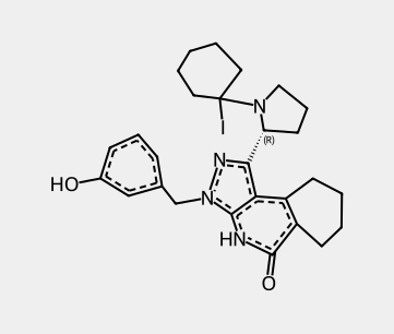 O=c1[nH]c2c(c([C@H]3CCCN3C3(I)CCCCC3)nn2Cc2cccc(O)c2)c2c1CCCC2